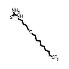 NC(=S)NCCCCCCCCCCCCCCCC(F)(F)F